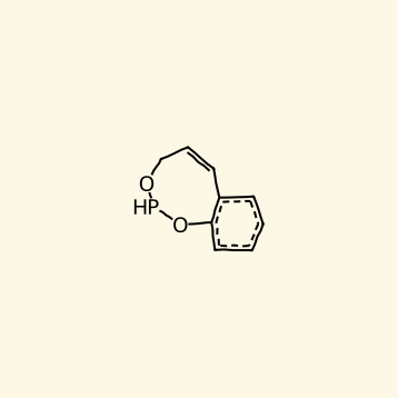 C1=Cc2ccccc2OPOC1